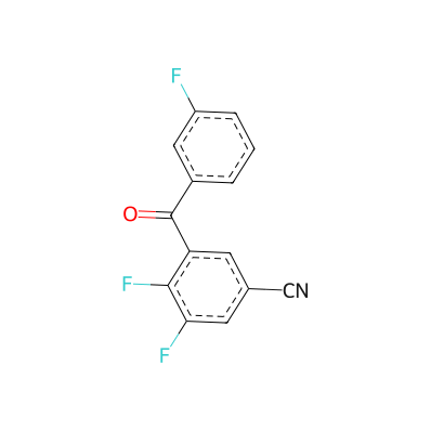 N#Cc1cc(F)c(F)c(C(=O)c2cccc(F)c2)c1